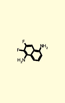 Nc1cccc2c(N)c(F)c(F)cc12